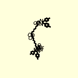 Cc1ccc(-c2nc3c(nc2-c2ccc(C)cc2)N(CCCCCCC(=O)OC(=O)CCCCCCN2C(=O)C(Br)(Br)c4nc(-c5ccc(C)cc5)c(-c5ccc(C)cc5)nc42)C(=O)C3)cc1